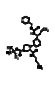 C=CCCNC(=O)C1CN(C(=O)OC(C)(C)C)CCN1c1cccc([C@H](CC=C)NC(=O)OCc2ccccc2)c1